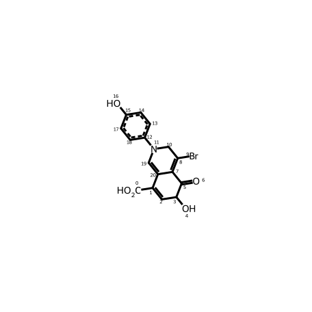 O=C(O)C1=CC(O)C(=O)C2=C(Br)CN(c3ccc(O)cc3)C=C12